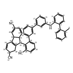 Cc1ccccc1-c1ccccc1Nc1cccc(-c2cccc(-c3cccc(C#N)c3N3C4=C(C=CC(C#N)C4)C4C=C(C#N)C=CC43)c2)c1